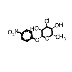 C[C@@H]1O[C@H](Oc2ccc([N+](=O)[O-])cc2)[C@@H](O)[C@@H](Cl)[C@@H]1O